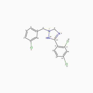 Clc1cccc(CN2CN=C(c3ccc(Cl)cc3Cl)N2)c1